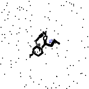 C/C=C/C(=O)N1CCN(I)C[C@@H]1CC#N